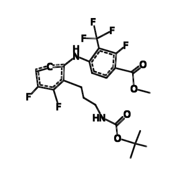 COC(=O)c1ccc(Nc2ccc(F)c(F)c2CCCNC(=O)OC(C)(C)C)c(C(F)(F)F)c1F